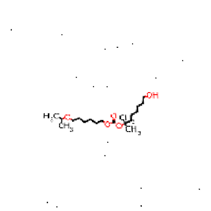 CC(C)OCCCCCCOC(=O)OC(C)(C)CCCCCCO